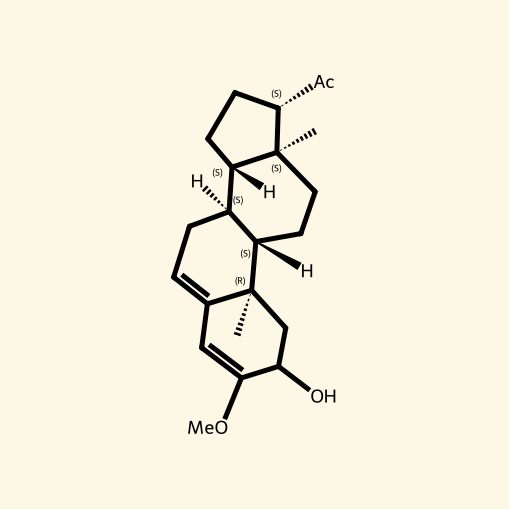 COC1=CC2=CC[C@H]3[C@@H]4CC[C@H](C(C)=O)[C@@]4(C)CC[C@@H]3[C@@]2(C)CC1O